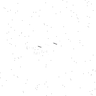 CCCN(N)/C=C(\N)CC/C=C/C(=O)OCC